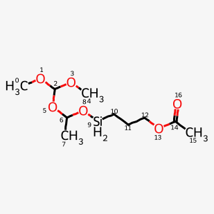 COC(OC)OC(C)O[SiH2]CCCOC(C)=O